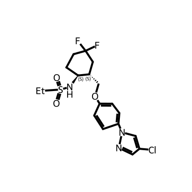 CCS(=O)(=O)N[C@H]1CCC(F)(F)C[C@@H]1COc1ccc(-n2cc(Cl)cn2)cc1